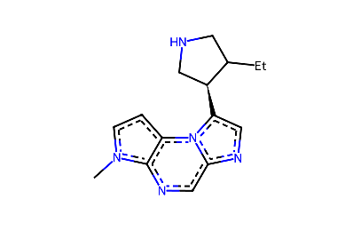 CCC1CNC[C@@H]1c1cnc2cnc3c(ccn3C)n12